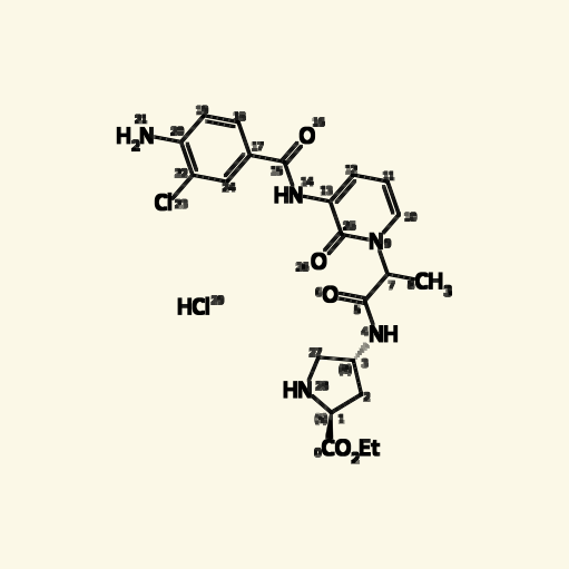 CCOC(=O)[C@@H]1C[C@@H](NC(=O)C(C)n2cccc(NC(=O)c3ccc(N)c(Cl)c3)c2=O)CN1.Cl